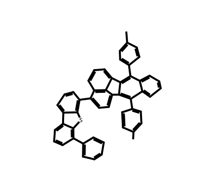 Cc1ccc(-c2c3c(c(-c4ccc(C)cc4)c4ccccc24)-c2ccc(-c4cccc5c4sc4c(-c6ccccc6)cccc45)c4cccc-3c24)cc1